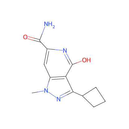 Cn1nc(C2CCC2)c2c(O)nc(C(N)=O)cc21